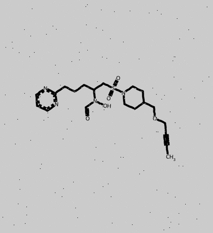 CC#CCOCC1CCN(S(=O)(=O)CC(CCCc2ncccn2)N(O)C=O)CC1